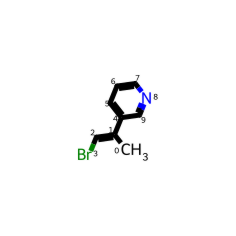 C/C(=C\Br)c1cccnc1